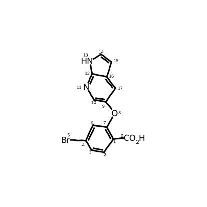 O=C(O)c1ccc(Br)cc1Oc1cnc2[nH]ccc2c1